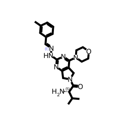 Cc1cccc(/C=N/Nc2nc3c(c(N4CCOCC4)n2)CN(C(=O)[C@@H](N)C(C)C)C3)c1